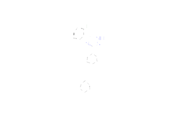 CN1NC(Cl)(c2c(F)cccc2F)N=C1c1ccc(OCc2ccc(OC(F)(F)F)cc2)cc1